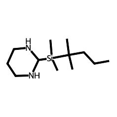 CCCC(C)(C)[Si](C)(C)C1NCCCN1